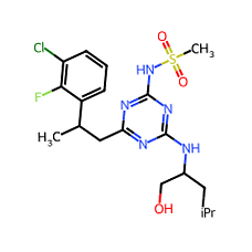 CC(C)CC(CO)Nc1nc(CC(C)c2cccc(Cl)c2F)nc(NS(C)(=O)=O)n1